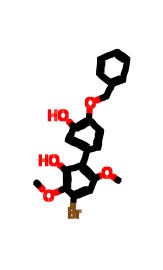 COc1cc(Br)c(OC)c(O)c1-c1ccc(OCc2ccccc2)c(O)c1